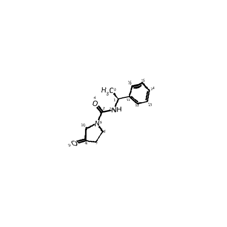 C[C@H](NC(=O)N1CCC(=O)C1)c1ccccc1